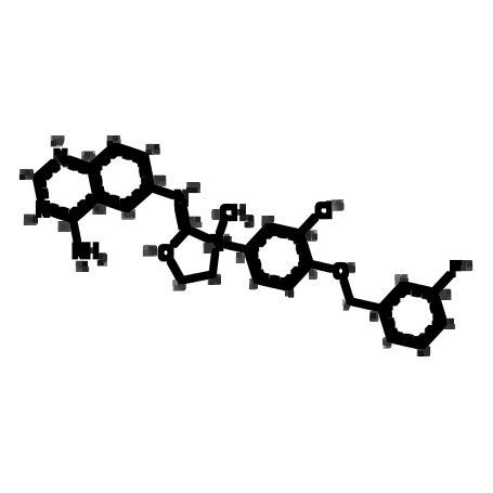 C[N+]1(c2ccc(OCc3cccc(F)c3)c(Cl)c2)CCOC1=Nc1ccc2ncnc(N)c2c1